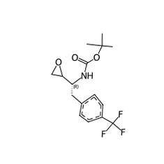 CC(C)(C)OC(=O)N[C@H](Cc1ccc(C(F)(F)F)cc1)C1CO1